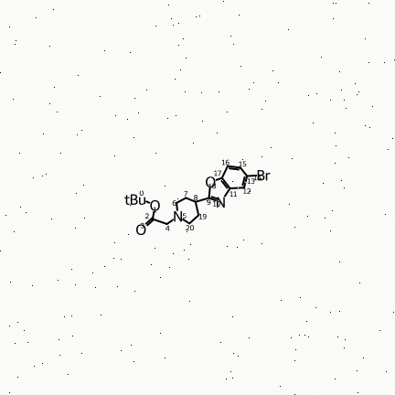 CC(C)(C)OC(=O)CN1CCC(c2nc3cc(Br)ccc3o2)CC1